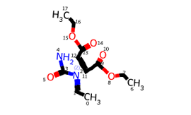 CC=NC(N)=O.CCOC(=O)/C=C\C(=O)OCC